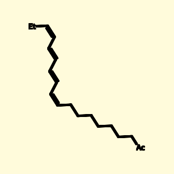 CC\C=C/C=C/C=C/C=C\CCCCCCCC(C)=O